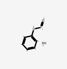 O=POc1ccccc1.[KH]